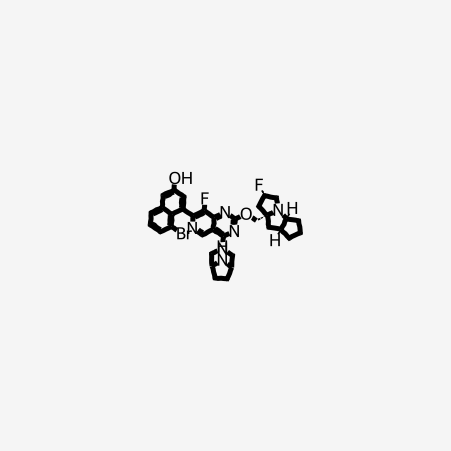 Oc1cc(-c2ncc3c(N4CC5CCC(C4)N5)nc(OC[C@]45C[C@H](F)CN4[C@H]4CCC[C@H]4C5)nc3c2F)c2c(Br)cccc2c1